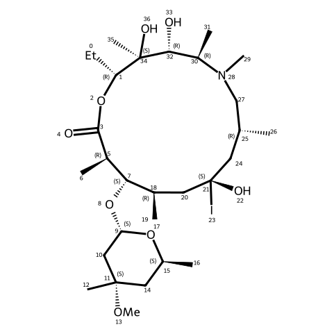 CC[C@H]1OC(=O)[C@H](C)[C@@H](O[C@H]2C[C@@](C)(OC)C[C@H](C)O2)[C@H](C)C[C@@](O)(I)C[C@@H](C)CN(C)[C@H](C)[C@@H](O)[C@]1(C)O